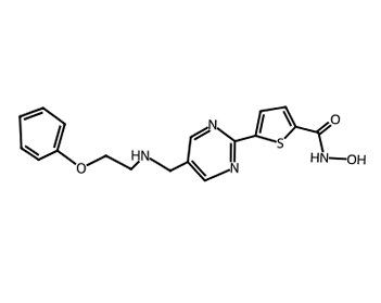 O=C(NO)c1ccc(-c2ncc(CNCCOc3ccccc3)cn2)s1